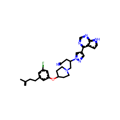 C=C(C)CCc1cc(F)cc(OC2CCN(CC(CC#N)n3cc(-c4ncnc5[nH]ccc45)cn3)CC2)c1